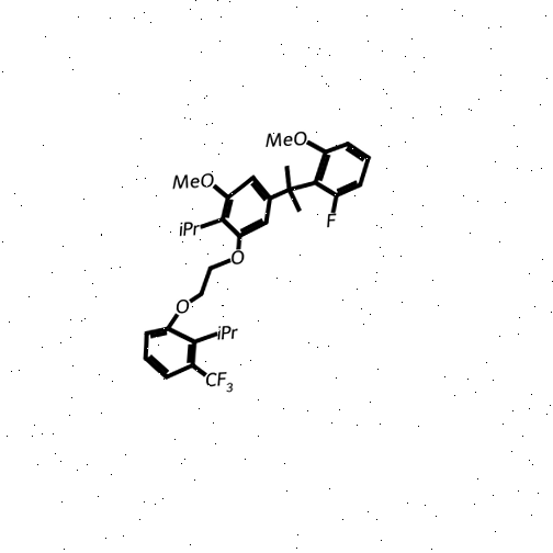 COc1cc(C(C)(C)c2c(F)cccc2OC)cc(OCCOc2cccc(C(F)(F)F)c2C(C)C)c1C(C)C